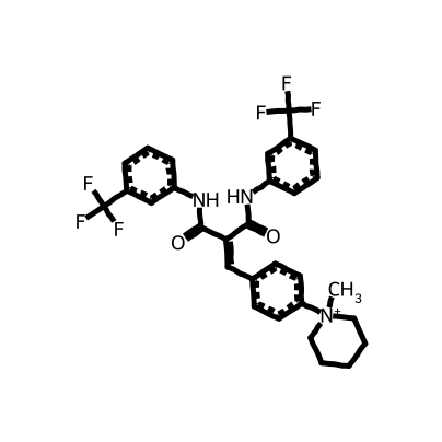 C[N+]1(c2ccc(C=C(C(=O)Nc3cccc(C(F)(F)F)c3)C(=O)Nc3cccc(C(F)(F)F)c3)cc2)CCCCC1